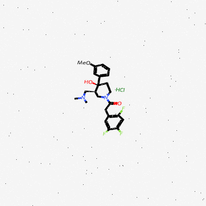 COc1cccc([C@]2(O)CCN(C(=O)Cc3cc(F)c(F)cc3F)C[C@H]2CN(C)C)c1.Cl